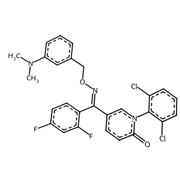 CN(C)c1cccc(CON=C(c2ccc(=O)n(-c3c(Cl)cccc3Cl)c2)c2ccc(F)cc2F)c1